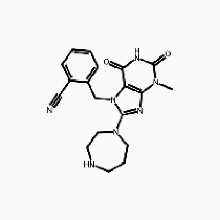 Cn1c(=O)[nH]c(=O)c2c1nc(N1CCCNCC1)n2Cc1ccccc1C#N